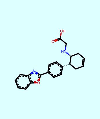 O=C(O)CN[C@H]1CC=CC[C@@H]1c1ccc(-c2nc3ccccc3o2)cc1